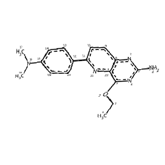 CCOc1nc(N)nc2ccc(-c3ccc(N(C)C)cc3)nc12